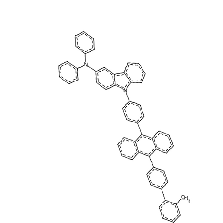 Cc1ccccc1-c1ccc(-c2c3ccccc3c(-c3ccc(-n4c5ccccc5c5cc(N(c6ccccc6)c6ccccc6)ccc54)cc3)c3ccccc23)cc1